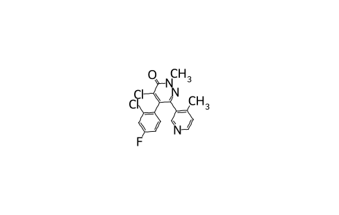 Cc1ccncc1-c1nn(C)c(=O)c(Cl)c1-c1ccc(F)cc1Cl